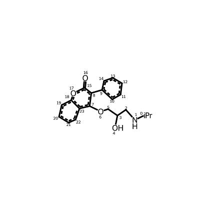 CC(C)NCC(O)COc1c(-c2ccccc2)c(=O)oc2ccccc12